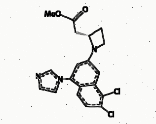 COC(=O)C[C@@H]1CCN1c1cc(-n2ccnc2)c2ccc(Cl)c(Cl)c2c1